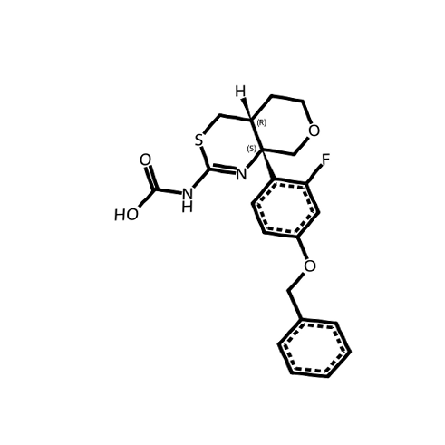 O=C(O)NC1=N[C@@]2(c3ccc(OCc4ccccc4)cc3F)COCC[C@H]2CS1